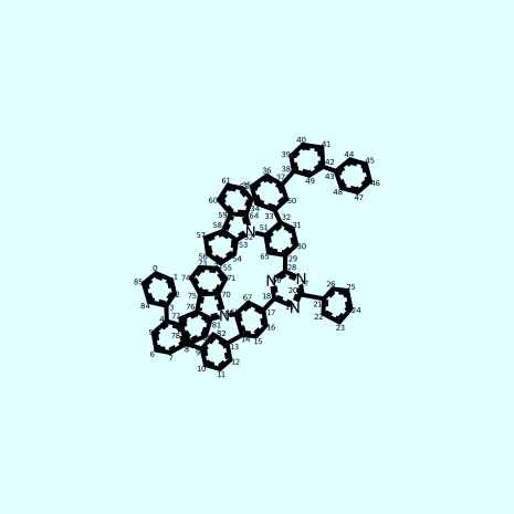 c1ccc(-c2cccc(-c3cccc(-c4ccc(-c5nc(-c6ccccc6)nc(-c6ccc(-c7cccc(-c8cccc(-c9ccccc9)c8)c7)c(-n7c8ccccc8c8ccccc87)c6)n5)cc4-n4c5ccccc5c5ccccc54)c3)c2)cc1